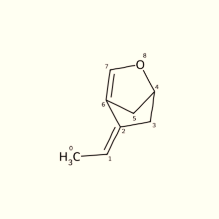 CC=C1CC2CC1=CO2